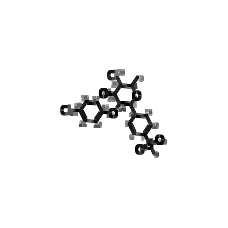 Cc1oc(-c2ccc(S(C)(=O)=O)cc2)c(Oc2ccc(Cl)cc2)c(=O)c1Cl